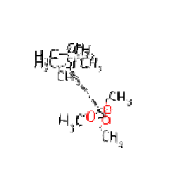 CCO[Si](C#CC#CC#C[Si](C(C)C)(C(C)C)C(C)C)(OCC)OCC